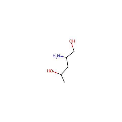 CC(O)CC(N)CO